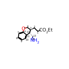 CCOC(=O)CC[C@@H]1COc2ccccc2[C@H]1CN